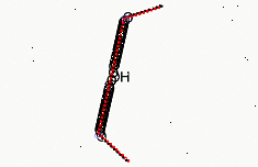 CCCCCCCCCCCCCCCCCCO/C=C\OOOOOOOOOOOOOOOOOOOOOOOOCCOCC(O)COCCOOOOOOOOOOOOOOOOOOOOOOOO/C=C\OCCCCCCCCCCCCCCCCCC